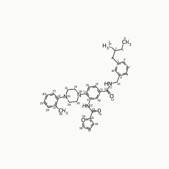 CCC(C)Cc1cccc(CNC(=O)c2ccc(N3CCN(c4ccccc4C)CC3)c(NC(=O)c3ccco3)c2)c1